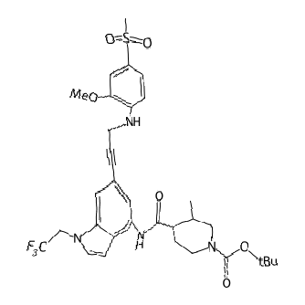 COc1cc(S(C)(=O)=O)ccc1NCC#Cc1cc(NC(=O)C2CCN(C(=O)OC(C)(C)C)CC2C)c2ccn(CC(F)(F)F)c2c1